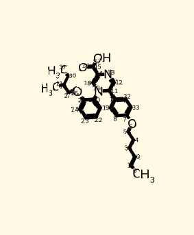 CCCCCCOc1ccc(C2C=NC(C(=O)O)=CN2c2ccccc2OCC(C)CC)cc1